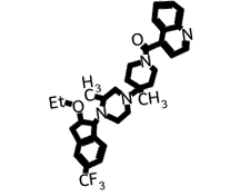 CCOC1Cc2cc(C(F)(F)F)ccc2C1N1CCN(C2(C)CCN(C(=O)c3ccnc4ccccc34)CC2)CC1C